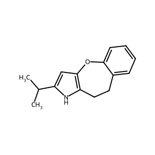 CC(C)c1cc2c([nH]1)CCc1ccccc1O2